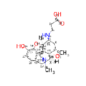 CO[C@@]12CC[C@H](NCCC(=O)O)[C@@H]3Oc4c(O)ccc5c4[C@@]31CCN(C)[C@@H]2C5